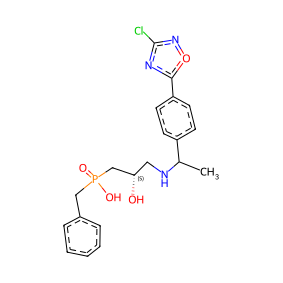 CC(NC[C@H](O)CP(=O)(O)Cc1ccccc1)c1ccc(-c2nc(Cl)no2)cc1